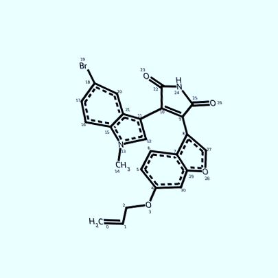 C=CCOc1ccc2c(C3=C(c4cn(C)c5ccc(Br)cc45)C(=O)NC3=O)coc2c1